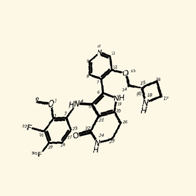 COc1c(Nc2c(-c3ccncc3OC[C@H]3CCN3)[nH]c3c2C(=O)NCC3)ccc(F)c1F